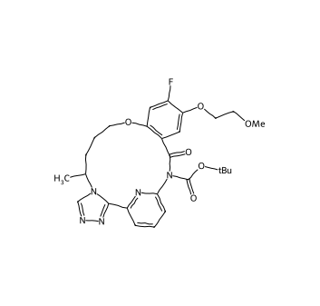 COCCOc1cc2c(cc1F)OCCCC(C)n1cnnc1-c1cccc(n1)N(C(=O)OC(C)(C)C)C2=O